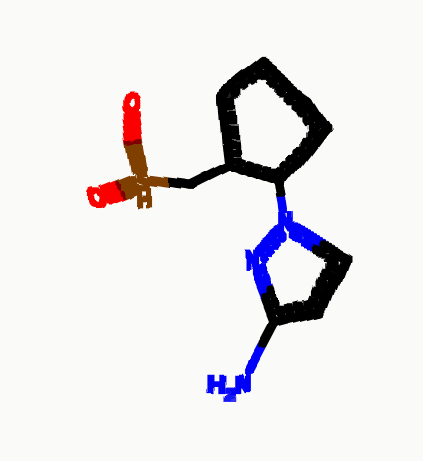 Nc1ccn(-c2ccccc2C[SH](=O)=O)n1